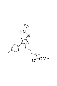 COC(=O)NCCCn1nc([C@@H](C)NC2CC2)nc1-c1ccc(C)cc1